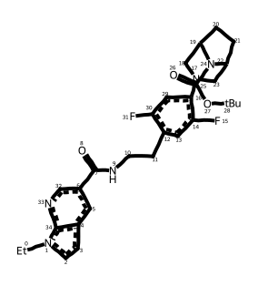 CCn1ccc2cc(C(=O)NCCc3cc(F)c(N4CC5CCC(C4)N5C(=O)OC(C)(C)C)cc3F)cnc21